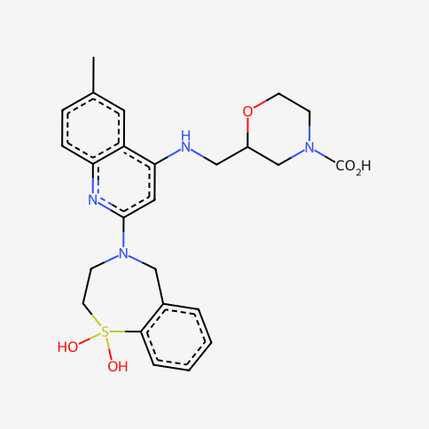 Cc1ccc2nc(N3CCS(O)(O)c4ccccc4C3)cc(NCC3CN(C(=O)O)CCO3)c2c1